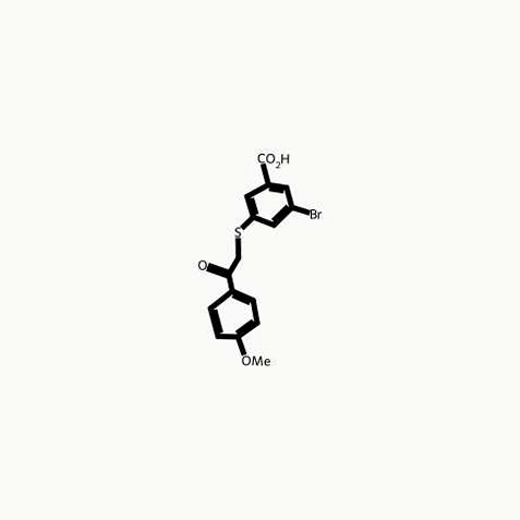 COc1ccc(C(=O)CSc2cc(Br)cc(C(=O)O)c2)cc1